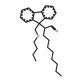 CCCCCCCCC(C=O)C1(COCCCC)c2ccccc2-c2ccccc21